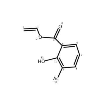 C=COC(=O)c1cccc(C(C)=O)c1O